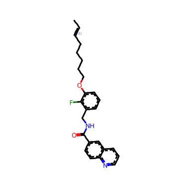 C/C=C/CCCCCOc1cccc(CNC(=O)c2ccc3ncccc3c2)c1F